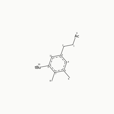 CC(=O)CCc1cc(C)c(C)c(C(C)(C)C)c1